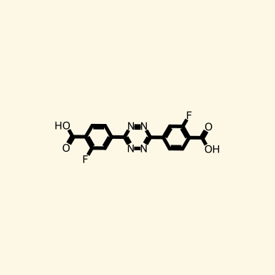 O=C(O)c1ccc(-c2nnc(-c3ccc(C(=O)O)c(F)c3)nn2)cc1F